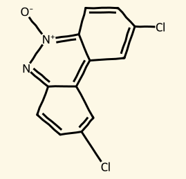 [O-][n+]1nc2ccc(Cl)cc2c2cc(Cl)ccc21